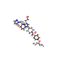 CC(C)Oc1ccc(S(=O)(=O)N2CCC(c3cn(CC=O)c4nc(Oc5ccnn5C)ccc34)CC2)cc1